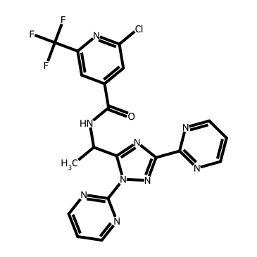 CC(NC(=O)c1cc(Cl)nc(C(F)(F)F)c1)c1nc(-c2ncccn2)nn1-c1ncccn1